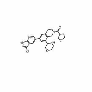 O=C(C1CCOC1)N1CCc2cc(-c3cnc4[nH]cc(Cl)c4c3)cc(C3COCCN3)c2C1